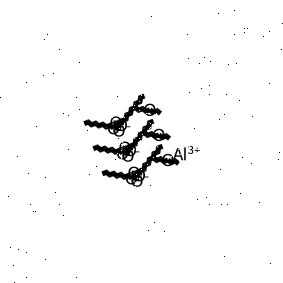 CCCCCCCCOP(=O)([O-])OCCCCCC(CCCC)CCCOCCC.CCCCCCCCOP(=O)([O-])OCCCCCC(CCCC)CCCOCCC.CCCCCCCCOP(=O)([O-])OCCCCCC(CCCC)CCCOCCC.[Al+3]